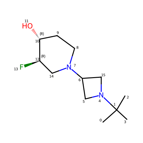 CC(C)(C)N1CC(N2CC[C@@H](O)[C@H](F)C2)C1